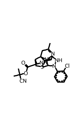 CC1=NC=C2SCC3C(C(=O)OC(C)(C)C#N)NCC4N(c5ccccc5Cl)NCN4C23C1